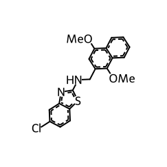 COc1cc(CNc2nc3cc(Cl)ccc3s2)c(OC)c2ccccc12